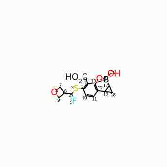 O=C(O)c1c(SC(F)C2COC2)ccc2c1OB(O)C1CC21